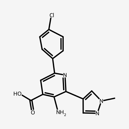 Cn1cc(-c2nc(-c3ccc(Cl)cc3)cc(C(=O)O)c2N)cn1